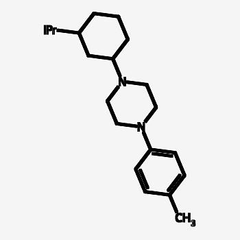 Cc1ccc(N2CCN(C3CCCC(C(C)C)C3)CC2)cc1